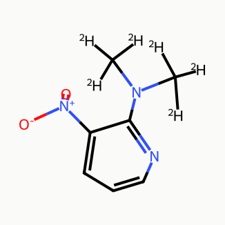 [2H]C([2H])([2H])N(c1ncccc1[N+](=O)[O-])C([2H])([2H])[2H]